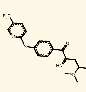 CC(CC(=N)C(=O)c1ccc(Nc2ccc(C(F)(F)F)cn2)cc1)N(C)C